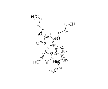 CCCCOc1cc(OCCCC)c(-c2onc(C(=O)NCC)c2C2=CC=C(O)CC2)cc1Cl